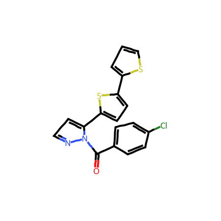 O=C(c1ccc(Cl)cc1)n1nccc1-c1ccc(-c2cccs2)s1